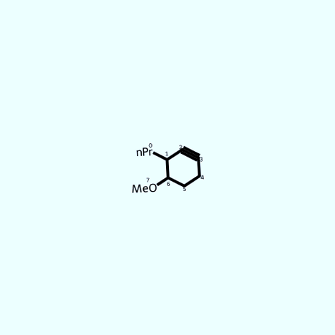 CCCC1C#CCCC1OC